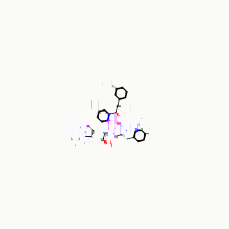 COC(=O)[C@H](C[C@@H]1CCNC1=O)NC(=O)[C@H](Cc1ccc(Cl)c(Cl)c1)NC(=O)OC(c1ccccc1)C(C)(C)c1cccc(Cl)c1